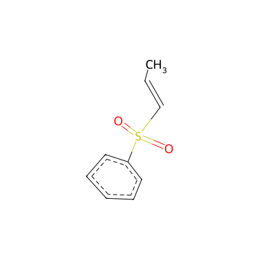 CC=CS(=O)(=O)c1ccccc1